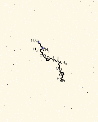 C/C=C/CC/C=C(/C)C(C)CCC(=O)OCc1ccc(CNCCNC(C)CCC(=O)OCc2ccc(CNCCC)o2)o1